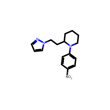 O=[N+]([O-])c1ccc(N2CCCCC2CCn2cccn2)cc1